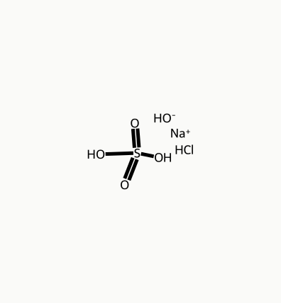 Cl.O=S(=O)(O)O.[Na+].[OH-]